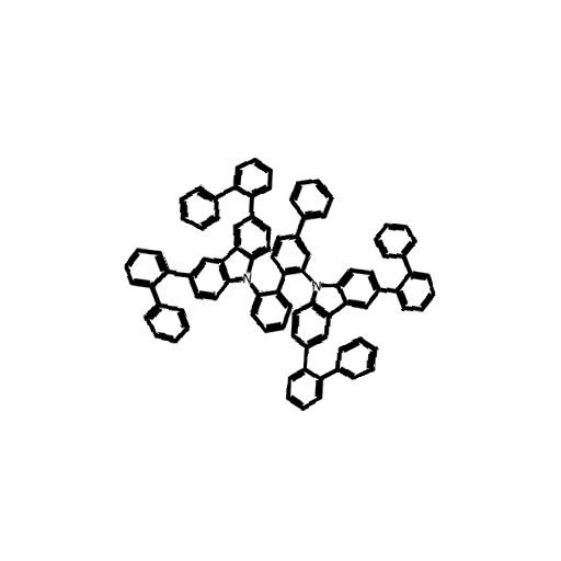 c1ccc(-c2ccc(-c3ccccc3-n3c4ccc(-c5ccccc5-c5ccccc5)cc4c4cc(-c5ccccc5-c5ccccc5)ccc43)c(-n3c4ccc(-c5ccccc5-c5ccccc5)cc4c4cc(-c5ccccc5-c5ccccc5)ccc43)c2)cc1